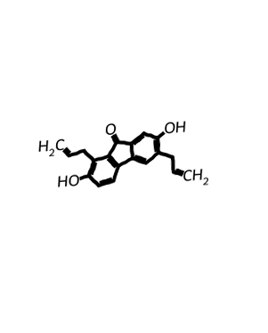 C=CCc1cc2c(cc1O)C(=O)c1c-2ccc(O)c1CC=C